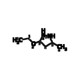 CCOC1CC(C)NN1